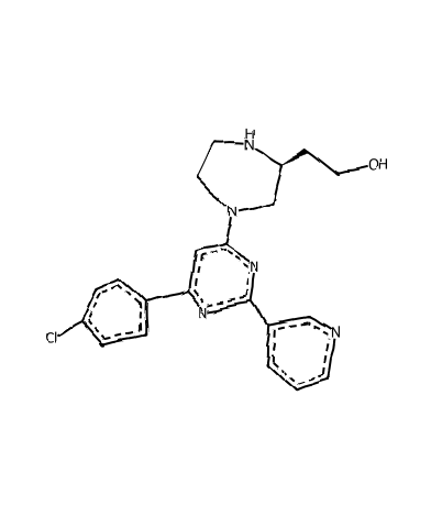 OCC[C@H]1CN(c2cc(-c3ccc(Cl)cc3)nc(-c3cccnc3)n2)CCN1